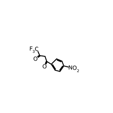 O=C(CC(=O)C(F)(F)F)c1ccc([N+](=O)[O-])cc1